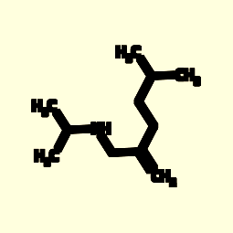 C=C(CCC(C)C)CNC(C)C